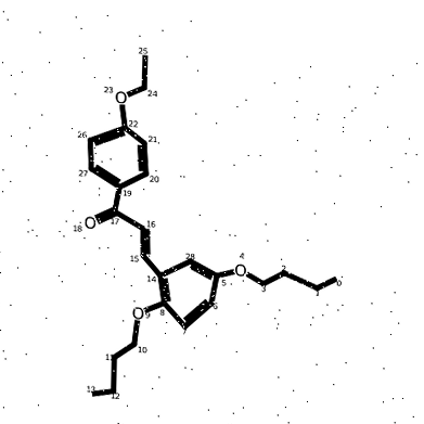 CCCCOc1ccc(OCCCC)c(C=CC(=O)c2ccc(OCC)cc2)c1